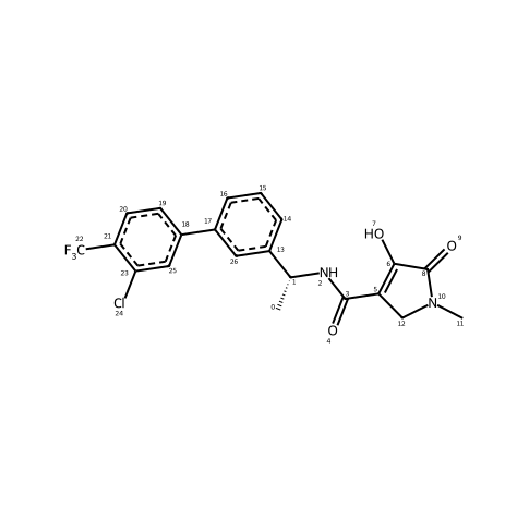 C[C@@H](NC(=O)C1=C(O)C(=O)N(C)C1)c1cccc(-c2ccc(C(F)(F)F)c(Cl)c2)c1